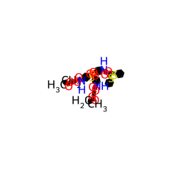 C=C(C)C(=O)OCCOC(=O)Nc1ccc(OP(=S)(Oc2ccc(NC(=O)OCCOC(=O)C(=C)C)cc2)Oc2ccc(NC(=O)OC(CSc3ccccc3)CSc3ccccc3)cc2)cc1